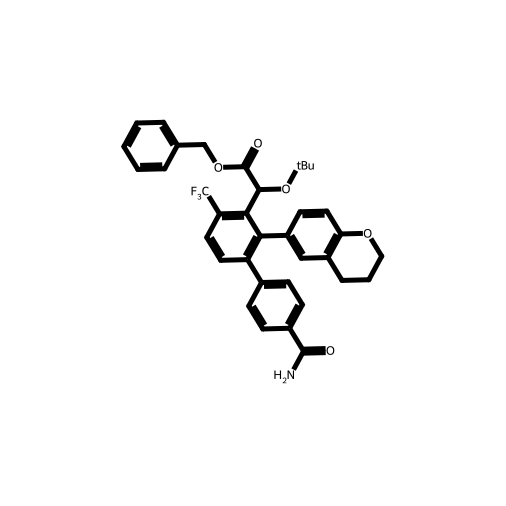 CC(C)(C)OC(C(=O)OCc1ccccc1)c1c(C(F)(F)F)ccc(-c2ccc(C(N)=O)cc2)c1-c1ccc2c(c1)CCCO2